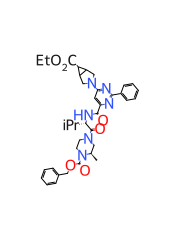 CCOC(=O)C1C2CN(c3cc(C(=O)N[C@H](C(=O)N4CCN(C(=O)OCc5ccccc5)[C@H](C)C4)C(C)C)nc(-c4ccccc4)n3)CC21